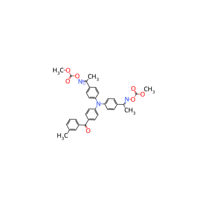 COC(=O)ON=C(C)c1ccc(N(c2ccc(C(=O)c3cccc(C)c3)cc2)c2ccc(/C(C)=N/OC(=O)OC)cc2)cc1